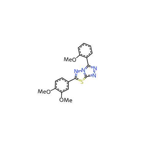 COc1ccc(-c2nn3c(-c4ccccc4OC)nnc3s2)cc1OC